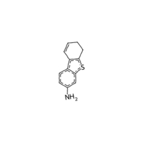 Nc1ccc2c3c(sc2c1)CCC=C3